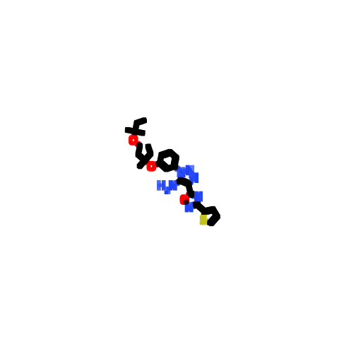 CCC(C)(C)OCCC(C)(CC)Oc1cccc(-n2nnc(-c3nc(-c4cccs4)no3)c2N)c1